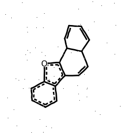 C1=CC2C=Cc3c(oc4ccccc34)C2C=C1